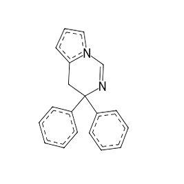 C1=NC(c2ccccc2)(c2ccccc2)Cc2cccn21